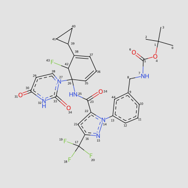 CC(C)(C)OC(=O)NCc1cccc(-n2nc(C(F)(F)F)cc2C(=O)NC2(n3ccc(=O)[nH]c3=O)C=CC=C(C3CC3)C2F)c1